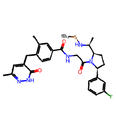 Cc1cc(Cc2ccc(C(=O)NCC(=O)N3[C@@H]([C@H](C)NSC(C)(C)C)CC[C@H]3c3cccc(F)c3)cc2C)c(=O)[nH]n1